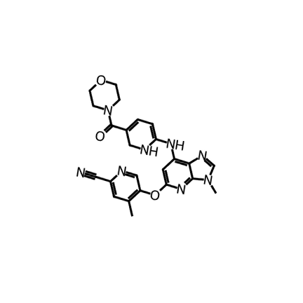 Cc1cc(C#N)ncc1Oc1cc(NC2=CC=C(C(=O)N3CCOCC3)CN2)c2ncn(C)c2n1